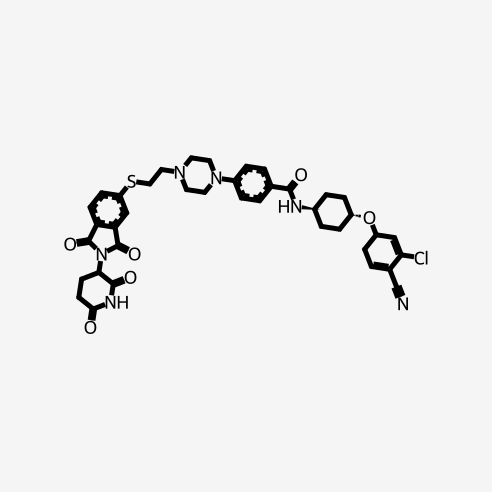 N#CC1=CCC(O[C@H]2CC[C@H](NC(=O)c3ccc(N4CCN(CCSc5ccc6c(c5)C(=O)N(C5CCC(=O)NC5=O)C6=O)CC4)cc3)CC2)C=C1Cl